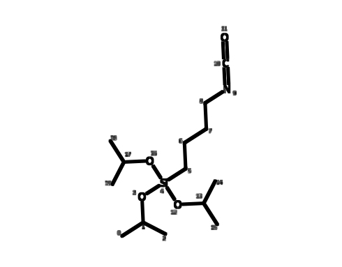 CC(C)O[Si](CCCCN=C=O)(OC(C)C)OC(C)C